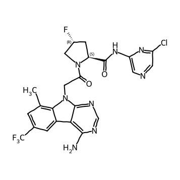 Cc1cc(C(F)(F)F)cc2c3c(N)ncnc3n(CC(=O)N3C[C@H](F)C[C@H]3C(=O)Nc3cncc(Cl)n3)c12